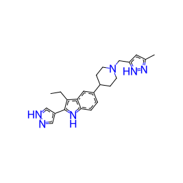 CCc1c(-c2cn[nH]c2)[nH]c2ccc(C3CCN(Cc4cc(C)n[nH]4)CC3)cc12